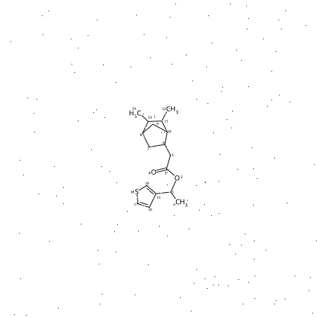 CC(OC(=O)CC1CC2CC1C(C)C2C)c1ccsc1